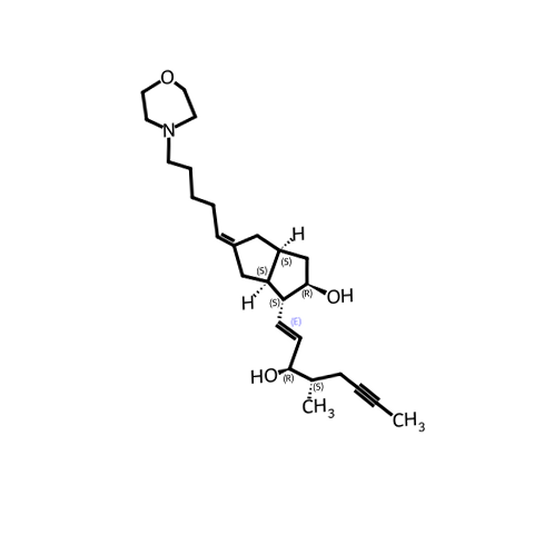 CC#CC[C@H](C)[C@@H](O)/C=C/[C@@H]1[C@H]2CC(=CCCCCN3CCOCC3)C[C@H]2C[C@H]1O